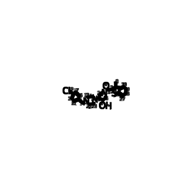 Cc1c(C(=O)N2C[C@H](O)[C@@H](N3CCN(Cc4ccc(Cl)cc4)CC3)C2)sc2ccccc12